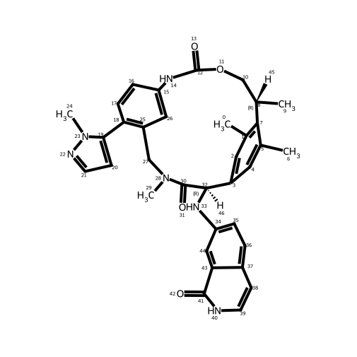 Cc1cc2cc(C)c1[C@@H](C)COC(=O)Nc1ccc(-c3ccnn3C)c(c1)CN(C)C(=O)[C@@H]2Nc1ccc2cc[nH]c(=O)c2c1